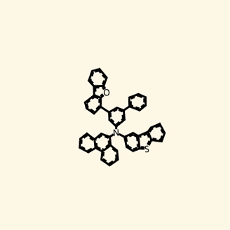 c1ccc(-c2cc(-c3cccc4c3oc3ccccc34)cc(N(c3ccc4sc5ccccc5c4c3)c3cc4ccccc4c4ccccc34)c2)cc1